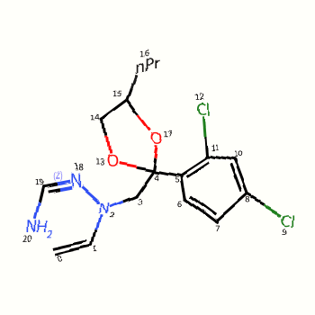 C=CN(CC1(c2ccc(Cl)cc2Cl)OCC(CCC)O1)/N=C\N